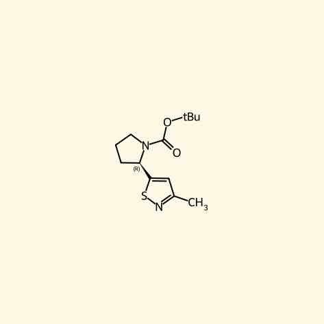 Cc1cc([C@H]2CCCN2C(=O)OC(C)(C)C)sn1